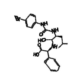 CC(C)C[C@H](NC(=O)Nc1ccc(Br)cc1)C(O)N[C@H](C(=O)O)c1ccccc1